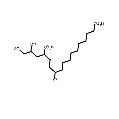 CCCC(CCCCCCCCCC(=O)O)CCC(CC(O)CO)C(=O)O